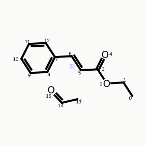 CCOC(=O)/C=C/c1ccccc1.[CH2]C=O